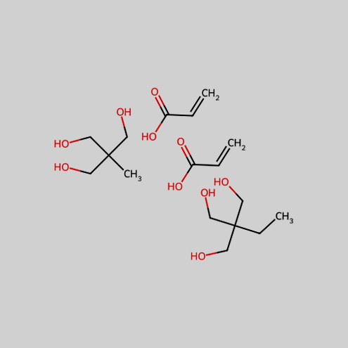 C=CC(=O)O.C=CC(=O)O.CC(CO)(CO)CO.CCC(CO)(CO)CO